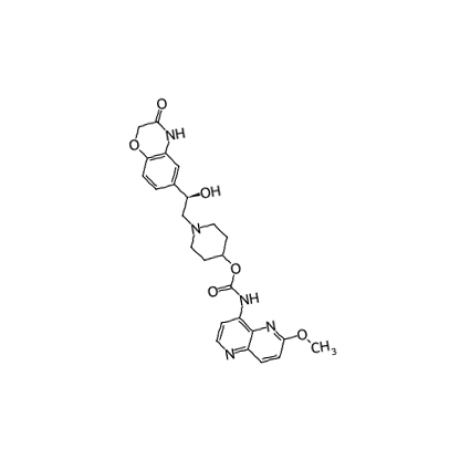 COc1ccc2nccc(NC(=O)OC3CCN(C[C@H](O)c4ccc5c(c4)NC(=O)CO5)CC3)c2n1